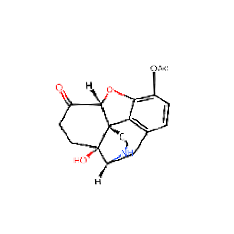 CC(=O)Oc1ccc2c3c1O[C@H]1C(=O)CC[C@@]4(O)[C@@H](C2)NCC[C@]314